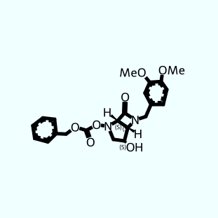 COc1ccc(CN2C(=O)[C@@H]3[C@H]2[C@@H](O)CN3OC(=O)OCc2ccccc2)cc1OC